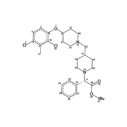 Cc1c(Cl)ccc(OC2CCN(CC3CCN([C@H](C(=O)OC(C)(C)C)c4ccccc4)CC3)CC2)c1Cl